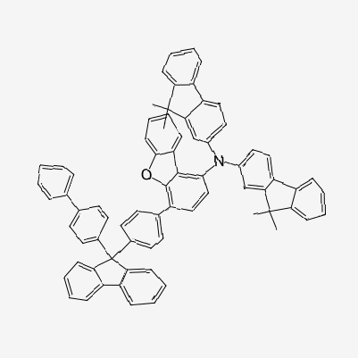 CC1(C)c2ccccc2-c2ccc(N(c3ccc4c(c3)C(C)(C)c3ccccc3-4)c3ccc(-c4ccc(C5(c6ccc(-c7ccccc7)cc6)c6ccccc6-c6ccccc65)cc4)c4oc5ccccc5c34)cc21